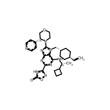 C=C[C@H]1CC[C@H](Cn2c(N3CCOC[C@H]3c3ccncc3)nc3nc(-c4noc(=O)[nH]4)nc(N[C@H](C)C4CCC4)c32)CC1